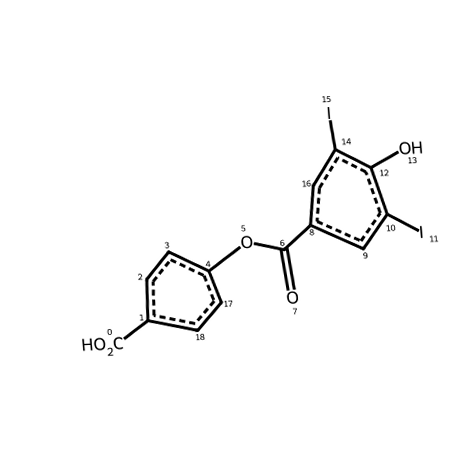 O=C(O)c1ccc(OC(=O)c2cc(I)c(O)c(I)c2)cc1